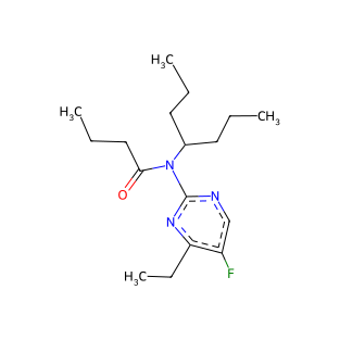 CCCC(=O)N(c1ncc(F)c(CC)n1)C(CCC)CCC